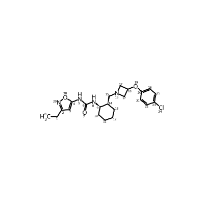 CCc1cc(NC(=O)N[C@@H]2CCCC[C@@H]2CN2CC(Oc3ccc(Cl)cc3)C2)on1